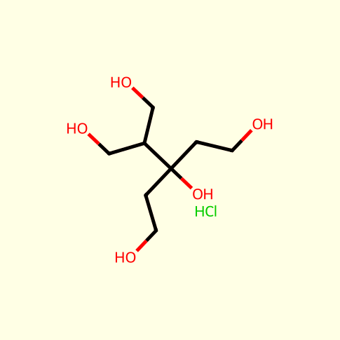 Cl.OCCC(O)(CCO)C(CO)CO